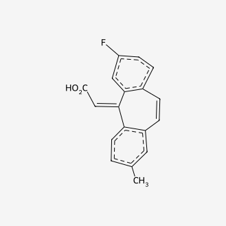 Cc1ccc2c(c1)C=Cc1ccc(F)cc1C2=CC(=O)O